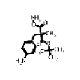 CC(C)(C)OC(=O)C(C)(Cc1ccc(N)cc1)C(=O)ON